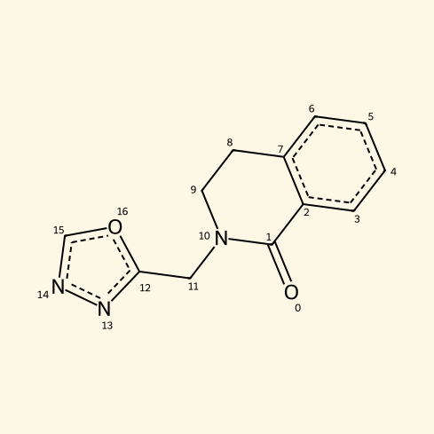 O=C1c2ccccc2CCN1Cc1nnco1